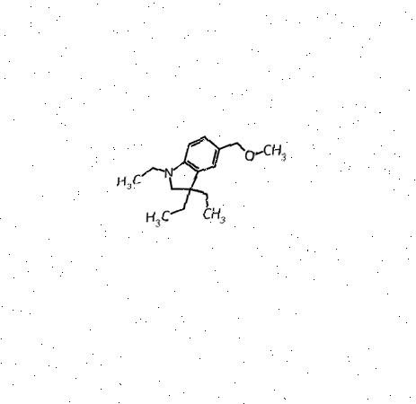 CCN1CC(CC)(CC)c2cc(COC)ccc21